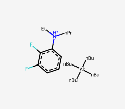 CCC[CH2][Al-]([CH2]CCC)([CH2]CCC)[CH2]CCC.CCC[NH+](CC)c1cccc(F)c1F